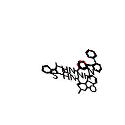 CC1C=C(C2NC(c3ccccc3)NC(C3Cc4sc5ccccc5c4C(C)C3)N2)C2C(C1)OC1C=CC(n3c4ccccc4c4c(-c5ccccc5)cccc43)=CC12